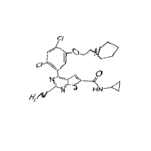 Nc1nc(-c2cc(OCCN3CCCC3)c(Cl)cc2Cl)c2cc(C(=O)NC3CC3)sc2n1